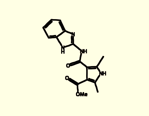 COC(=O)c1c(C)[nH]c(C)c1C(=O)Nc1nc2ccccc2[nH]1